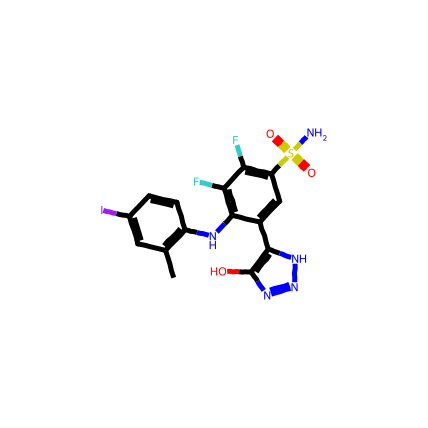 Cc1cc(I)ccc1Nc1c(-c2[nH]nnc2O)cc(S(N)(=O)=O)c(F)c1F